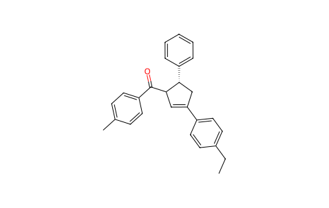 CCc1ccc(C2=CC(C(=O)c3ccc(C)cc3)[C@H](c3ccccc3)C2)cc1